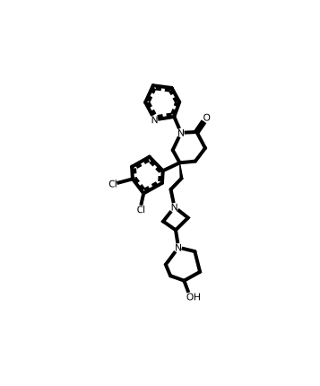 O=C1CC[C@](CCN2CC(N3CCC(O)CC3)C2)(c2ccc(Cl)c(Cl)c2)CN1c1ccccn1